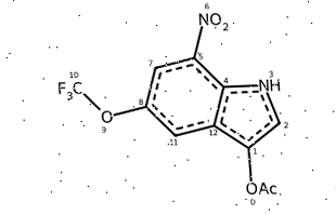 CC(=O)Oc1c[nH]c2c([N+](=O)[O-])cc(OC(F)(F)F)cc12